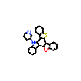 c1cncc(-n2c3ccccc3c3c4oc5ccccc5c4c4sc5ccccc5c4c32)c1